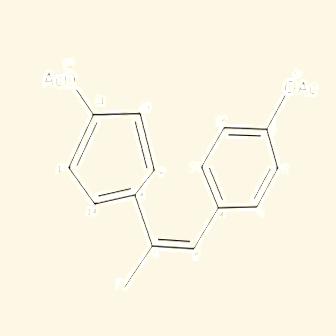 CC(=O)Oc1ccc(C=C(C)c2ccc(OC(C)=O)cc2)cc1